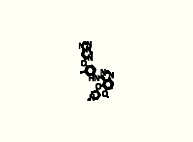 COc1ccc2ncnc(Nc3ccc(Oc4cc5ncnn5cn4)c(C)c3)c2c1OC1CCN(C)C1